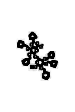 COC(=O)C1O[C@H](OCC2O[C@H](O)C(OCc3ccccc3)C(OCc3ccccc3)[C@@H]2OCc2ccccc2)C(OCc2ccccc2)C(OCc2ccccc2)[C@@H]1OCc1ccccc1